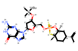 C=C(C)[C@@H]1CC[C@]2(C)S[P@@](=S)(OC[C@H]3O[C@@H](n4cnc5c(=O)[nH]c(N)nc54)CC3O[Si](C)(C)C(C)(C)C)O[C@H]2C1